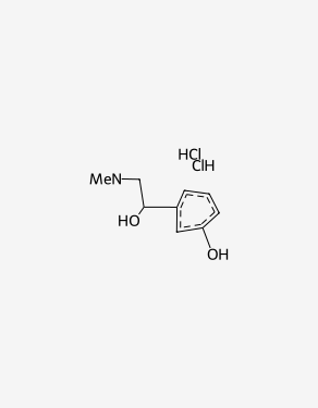 CNCC(O)c1cccc(O)c1.Cl.Cl